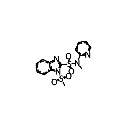 CN(c1ccccn1)S(=O)(=O)c1nc2ccccc2n1S(C)(=O)=O